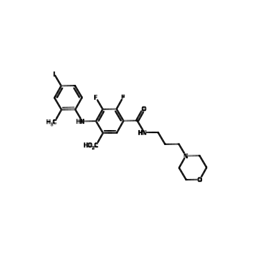 Cc1cc(I)ccc1Nc1c(C(=O)O)cc(C(=O)NCCCN2CCOCC2)c(F)c1F